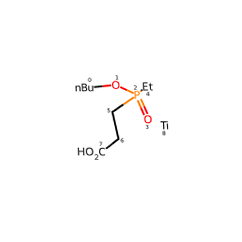 CCCCOP(=O)(CC)CCC(=O)O.[Ti]